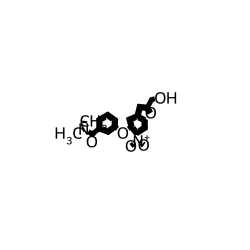 CN(C)C(=O)c1cccc(Oc2cc3cc(CO)oc3cc2[N+](=O)[O-])c1